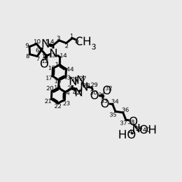 CCCCC1=NC2(CCCC2)C(=O)N1Cc1ccc(-c2ccccc2-c2nnn(COC(=O)OCCCCON(O)O)n2)cc1